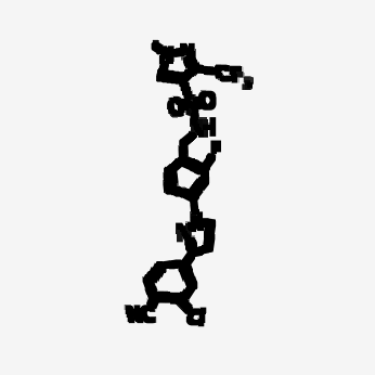 Cn1cc(S(=O)(=O)NCc2ccc(-n3ccc(-c4ccc(C#N)c(Cl)c4)n3)cc2F)c(C(F)(F)F)n1